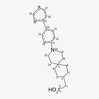 O=C(O)CC1CCC2(CC1)CCN(c1ccc(-c3ccccc3)cc1)CC2